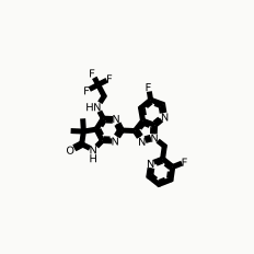 CC1(C)C(=O)Nc2nc(-c3nn(Cc4ncccc4F)c4ncc(F)cc34)nc(NCC(F)(F)F)c21